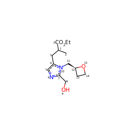 CCOC(=O)C(C)Cc1cnc(CO)n1C[C@@H]1CCO1